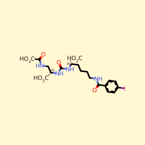 O=C(N[C@@H](CCCCNC(=O)c1ccc(I)cc1)C(=O)O)N[C@@H](CNC(=O)C(=O)O)C(=O)O